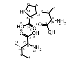 CC(C)[C@H](N)C(=O)O.CC[C@H](C)[C@H](N)C(=O)O.O=C(O)[C@@H]1CCCN1